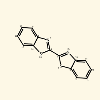 c1ccc2sc(-c3nc4ccccc4s3)nc2c1